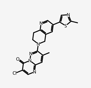 Cc1ncc(-c2cnc3c(c2)CN(c2nn4c(=O)c(Cl)cnc4cc2C)CC3)s1